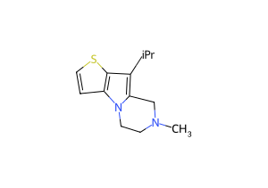 CC(C)c1c2n(c3ccsc13)CCN(C)C2